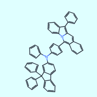 c1ccc(-c2c3ccccc3n3c(-c4ccc(N(c5ccccc5)c5ccc6c(c5)C(c5ccccc5)(c5ccccc5)c5ccccc5-6)cc4)c4ccccc4cc23)cc1